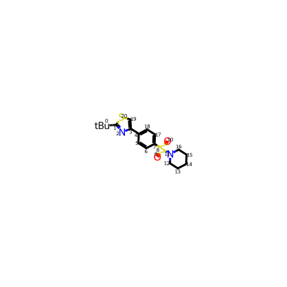 CC(C)(C)c1nc(-c2ccc(S(=O)(=O)N3CCCCC3)cc2)cs1